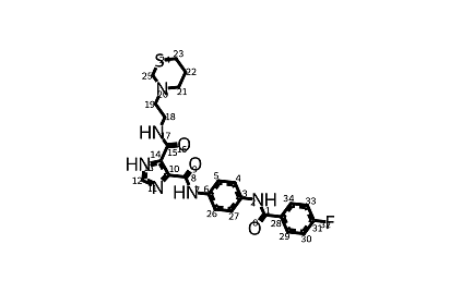 O=C(Nc1ccc(NC(=O)c2nc[nH]c2C(=O)NCCN2CCCSC2)cc1)c1ccc(F)cc1